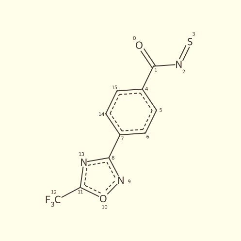 O=C(N=S)c1ccc(-c2noc(C(F)(F)F)n2)cc1